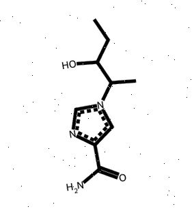 CCC(O)C(C)n1cnc(C(N)=O)c1